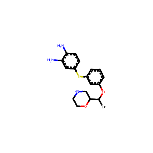 CCC(Oc1cccc(Sc2ccc(N)c(N)c2)c1)C1CNCCO1